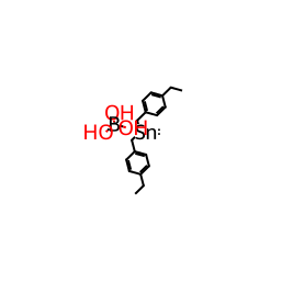 CCc1ccc([CH2][Sn][CH2]c2ccc(CC)cc2)cc1.OB(O)O